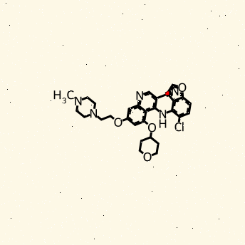 CN1CCN(CCOc2cc(OC3CCOCC3)c3c(Nc4c(Cl)ccc5occc45)c(C#N)cnc3c2)CC1